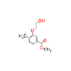 COC(=O)c1ccc(C)c(OCCO)c1